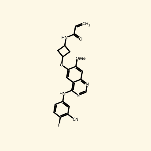 C=CC(=O)NC1CC(Oc2cc3c(Nc4ccc(F)c(C#N)c4)ncnc3cc2OC)C1